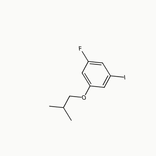 CC(C)COc1cc(F)cc(I)c1